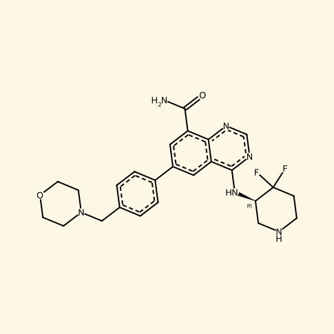 NC(=O)c1cc(-c2ccc(CN3CCOCC3)cc2)cc2c(N[C@@H]3CNCCC3(F)F)ncnc12